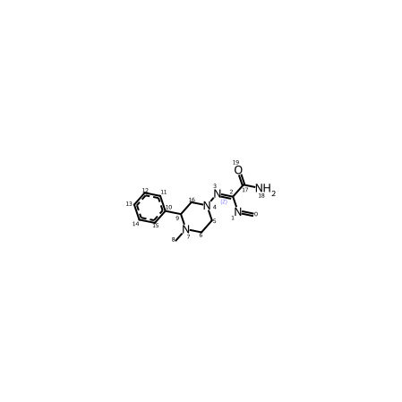 C=N/C(=N\N1CCN(C)C(c2ccccc2)C1)C(N)=O